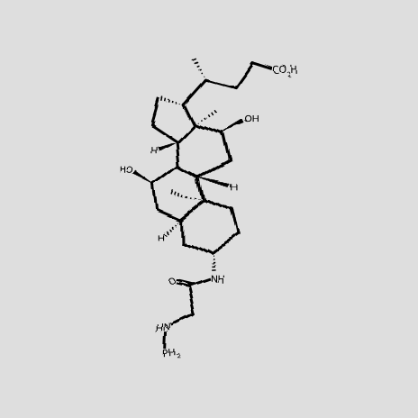 C[C@H](CCC(=O)O)[C@H]1CC[C@H]2C3[C@H](O)C[C@@H]4C[C@@H](NC(=O)CNP)CC[C@]4(C)[C@H]3C[C@H](O)[C@]12C